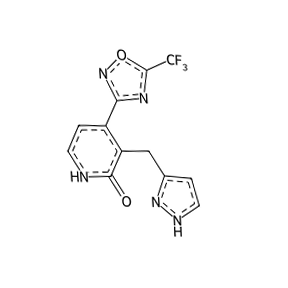 O=c1[nH]ccc(-c2noc(C(F)(F)F)n2)c1Cc1cc[nH]n1